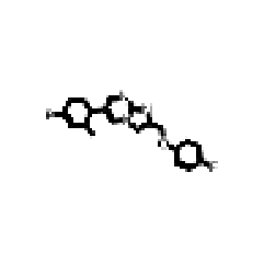 CC1C=C(F)CCC1C1=CN2CC(COC3C=CC(F)=CC3)N=C2N=C1